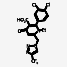 CCn1c(Cn2cc(C(F)(F)F)nn2)cc(=O)c(C(=O)O)c1-c1ccc(Cl)c(Cl)c1